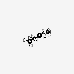 O=C1NOCC1NC(=S)c1ccc(C2=NCC(c3cc(Cl)cc(Cl)c3)(C(F)F)C2)cc1